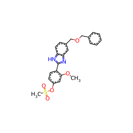 COc1cc(OS(C)(=O)=O)ccc1-c1nc2cc(COCc3ccccc3)ccc2[nH]1